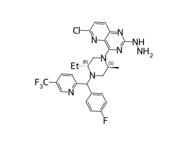 CC[C@@H]1CN(c2nc(NN)nc3ccc(Cl)nc23)[C@@H](C)CN1C(c1ccc(F)cc1)c1ccc(C(F)(F)F)cn1